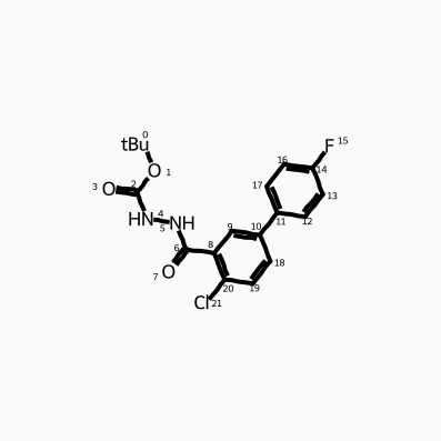 CC(C)(C)OC(=O)NNC(=O)c1cc(-c2ccc(F)cc2)ccc1Cl